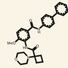 COc1ccc(C(=O)Nc2ccc(-c3ccccc3)cc2)cc1NC(=O)C1(N2CCOCC2)CCC1